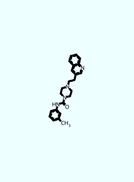 Cc1cccc(NC(=O)N2CCN(CCc3cnc4ccccc4c3)CC2)c1